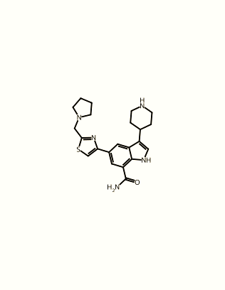 NC(=O)c1cc(-c2csc(CN3CCCC3)n2)cc2c(C3CCNCC3)c[nH]c12